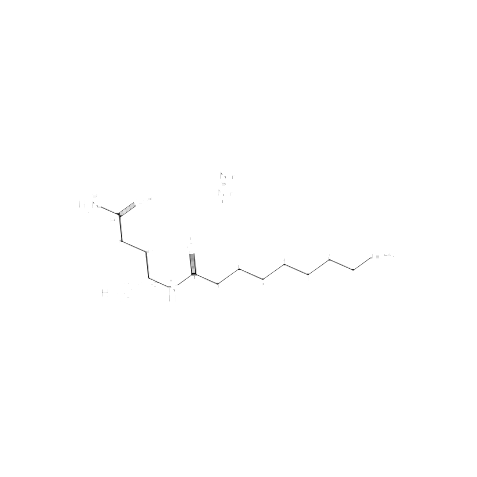 CCCCCCCCCCCCCCCCCC(=O)N[C@@H](CCC(N)=O)C(=O)O.[Na].[Na]